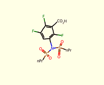 CCCS(=O)(=O)N(c1cc(F)c(F)c(C(=O)O)c1F)S(=O)(=O)CCC